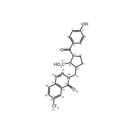 O=C(c1ccc(O)cc1)C1CCC(Cn2nnc3ccc(C(F)(F)F)cc3c2=O)C1C(=O)O